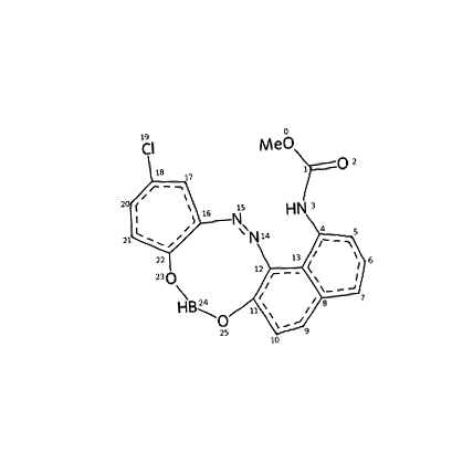 COC(=O)Nc1cccc2ccc3c(c12)N=Nc1cc(Cl)ccc1OBO3